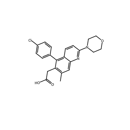 Cc1cc2nc(N3CCOCC3)ccc2c(-c2ccc(Cl)cc2)c1CC(=O)O